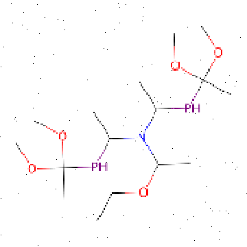 CCOC(C)N(C(C)PC(C)(OC)OC)C(C)PC(C)(OC)OC